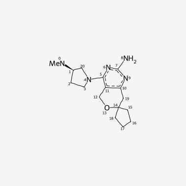 CN[C@@H]1CCN(c2nc(N)nc3c2COC2(CCCC2)C3)C1